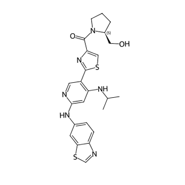 CC(C)Nc1cc(Nc2ccc3ncsc3c2)ncc1-c1nc(C(=O)N2CCC[C@H]2CO)cs1